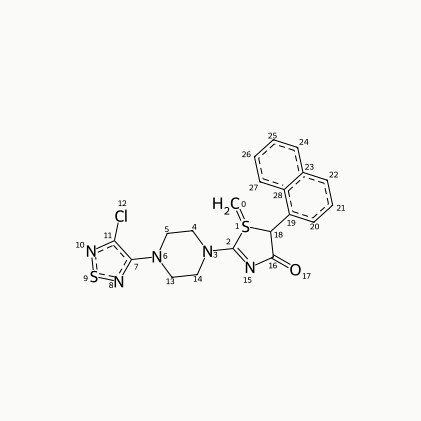 C=S1C(N2CCN(c3nsnc3Cl)CC2)=NC(=O)C1c1cccc2ccccc12